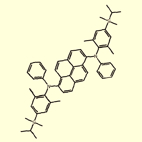 Cc1cc([Si](C)(C)C(C)C)cc(C)c1N(c1ccccc1)c1ccc2ccc3c(N(c4ccccc4)c4c(C)cc([Si](C)(C)C(C)C)cc4C)ccc4ccc1c2c43